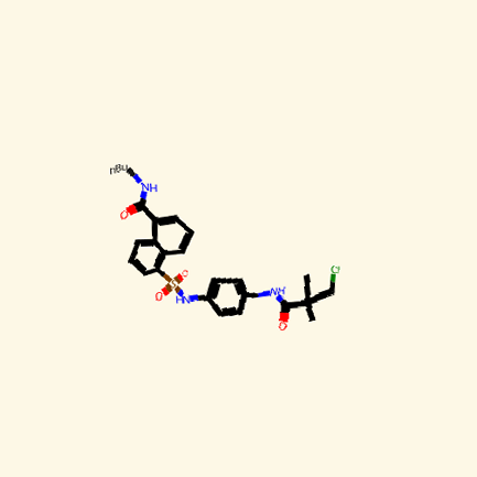 CCCCNC(=O)c1cccc2c(S(=O)(=O)Nc3ccc(NC(=O)C(C)(C)CCl)cc3)cccc12